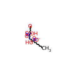 CCCCCCCCC(C(O)C/C=C\CC(C(O)CCC[C]=O)[N+](=O)[O-])[N+](=O)[O-]